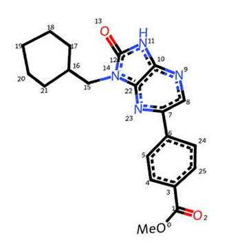 COC(=O)c1ccc(-c2cnc3[nH]c(=O)n(CC4CCCCC4)c3n2)cc1